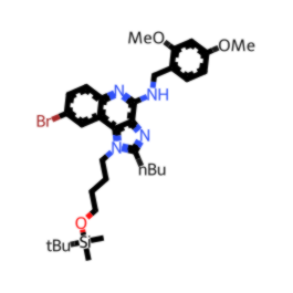 CCCCc1nc2c(NCc3ccc(OC)cc3OC)nc3ccc(Br)cc3c2n1CCCCO[Si](C)(C)C(C)(C)C